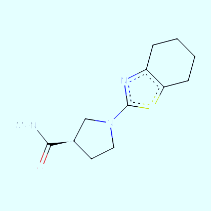 CNC(=O)[C@@H]1CCN(c2nc3c(s2)CCCC3)C1